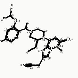 CCC1CN(C(C)c2ccc(F)cc2OC(F)F)CCN1c1cc(=O)n(C)n2cc(CC#N)nc12